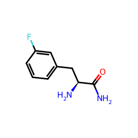 NC(=O)[C@@H](N)Cc1cccc(F)c1